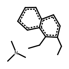 CCc1ccc2ccccc2c1CC.CN(C)C